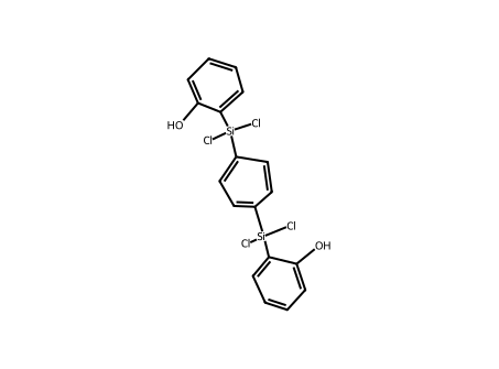 Oc1ccccc1[Si](Cl)(Cl)c1ccc([Si](Cl)(Cl)c2ccccc2O)cc1